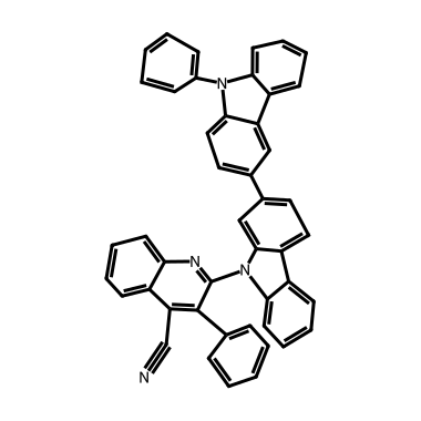 N#Cc1c(-c2ccccc2)c(-n2c3ccccc3c3ccc(-c4ccc5c(c4)c4ccccc4n5-c4ccccc4)cc32)nc2ccccc12